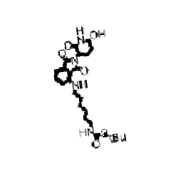 CC(C)(C)OC(=O)NCCCCCCNc1cccc2c1C(=O)N(C1CCC(O)NC1=O)C2=O